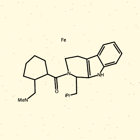 CNCC1CCCCC1C(=O)N1CCc2c([nH]c3ccccc23)C1CC(C)C.[Fe]